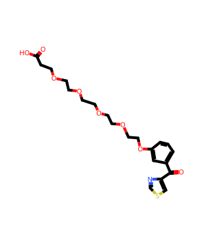 O=C(O)CCOCCOCCOCCOCCOc1cccc(C(=O)c2cscn2)c1